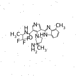 Cc1cccc2[nH]c(-c3cncc(C(=O)NC(C)C(F)(F)F)c3N3CC[C@](C)(N)C3)nc12